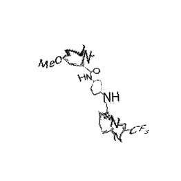 COc1cc(C(=O)NC2CCC(Nc3cccc4nc(C(F)(F)F)cn34)CC2)n(C)n1